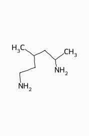 CC(N)CC(C)CCN